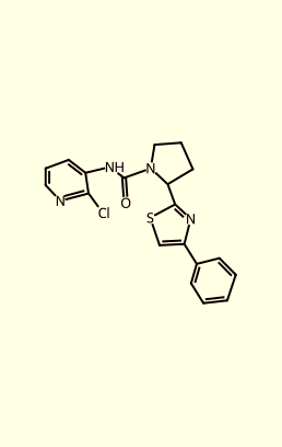 O=C(Nc1cccnc1Cl)N1CCCC1c1nc(-c2ccccc2)cs1